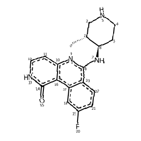 C[C@@H]1CNCC[C@H]1Nc1nc2cc[nH]c(=O)c2c2cc(F)ccc12